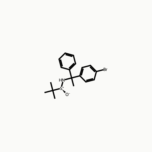 CC(N[S@@+]([O-])C(C)(C)C)(c1ccccc1)c1ccc(Br)cc1